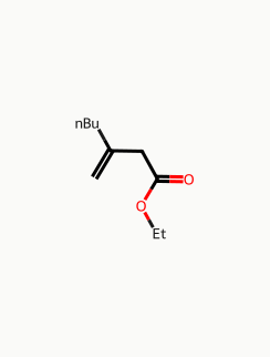 C=C(CCCC)CC(=O)OCC